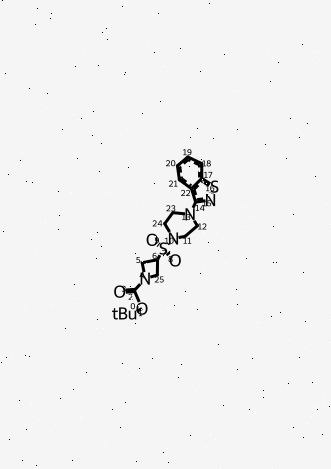 CC(C)(C)OC(=O)N1CC(S(=O)(=O)N2CCN(c3nsc4ccccc34)CC2)C1